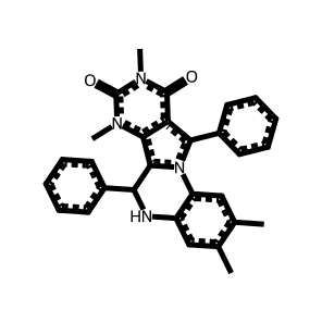 Cc1cc2c(cc1C)-n1c(-c3ccccc3)c3c(=O)n(C)c(=O)n(C)c3c1C(c1ccccc1)N2